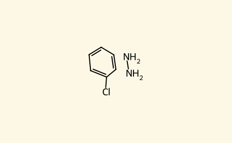 Clc1ccccc1.NN